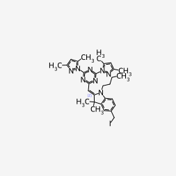 CCCCN1/C(=C\c2nc(-n3nc(C)cc3C)nc(-n3nc(C)cc3C)n2)C(C)(C)c2cc(CI)ccc21